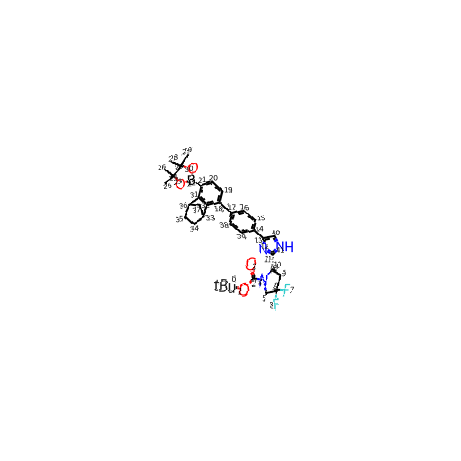 CC(C)(C)OC(=O)N1CC(F)(F)C[C@H]1c1nc(-c2ccc(-c3ccc(B4OC(C)(C)C(C)(C)O4)c4c3C3CCC4C3)cc2)c[nH]1